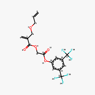 C=CCOCC(=C)C(=O)OCC(=O)Oc1cc(C(F)(F)F)cc(C(F)(F)F)c1